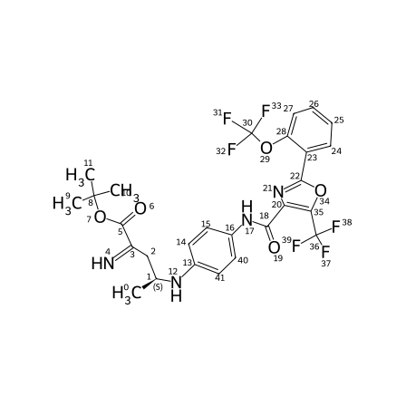 C[C@@H](CC(=N)C(=O)OC(C)(C)C)Nc1ccc(NC(=O)c2nc(-c3ccccc3OC(F)(F)F)oc2C(F)(F)F)cc1